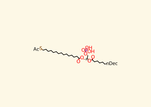 CCCCCCCCCCCCCCCC(=O)O[C@H](COC(=O)CCCCCCCCCCCCCCSC(C)=O)COP(=O)(O)O